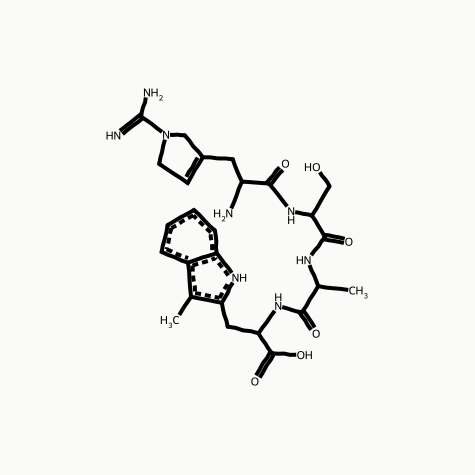 Cc1c(CC(NC(=O)C(C)NC(=O)C(CO)NC(=O)C(N)CC2=CCN(C(=N)N)C2)C(=O)O)[nH]c2ccccc12